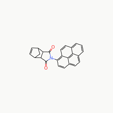 O=C1C2C3C=CC(C3)C2C(=O)N1c1ccc2ccc3cccc4ccc1c2c34